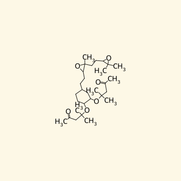 CC(=O)CC(C)(C)OC1CCC(CCC2OC2(C)CCC2OC2(C)C)CC1OC(C)(C)CC(C)=O